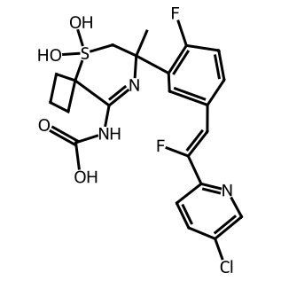 CC1(c2cc(C=C(F)c3ccc(Cl)cn3)ccc2F)CS(O)(O)C2(CCC2)C(NC(=O)O)=N1